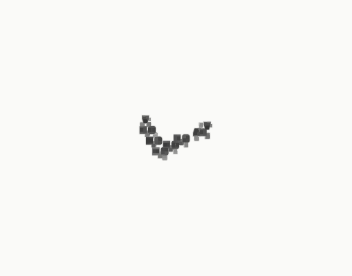 O.O.O.O.O.[AlH3].[V].[V]